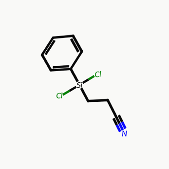 N#CCC[Si](Cl)(Cl)c1ccccc1